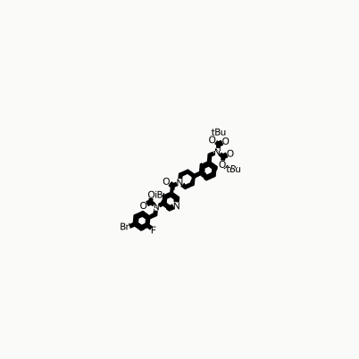 CC(C)COC(=O)N(Cc1ccc(Br)cc1F)c1cncc(C(=O)N2CCC(c3cccc(CN(C(=O)OC(C)(C)C)C(=O)OC(C)(C)C)c3)CC2)c1